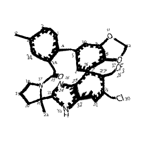 Cc1ccc(-c2ccc3c(c2)OCO3)c(C(=O)N2CCCC2(C)c2nc3cc(C(F)(F)F)c(Cl)cc3[nH]2)c1